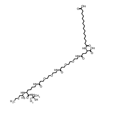 CCSCC(S)NC(CCCCNC(=O)CCOCCOCCNC(=O)CCOCCOCCNC(=O)CCC(NC(=O)CCCCCCCCCCCCCCC(=O)O)C(=O)O)C(=O)NC(C)(C)S